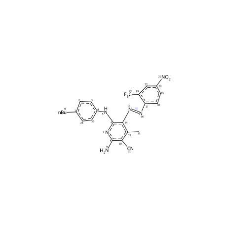 CCCCc1ccc(Nc2nc(N)c(C#N)c(C)c2/N=N/c2ccc([N+](=O)[O-])cc2C(F)(F)F)cc1